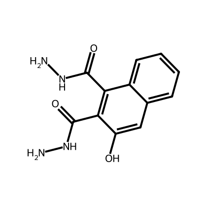 NNC(=O)c1c(O)cc2ccccc2c1C(=O)NN